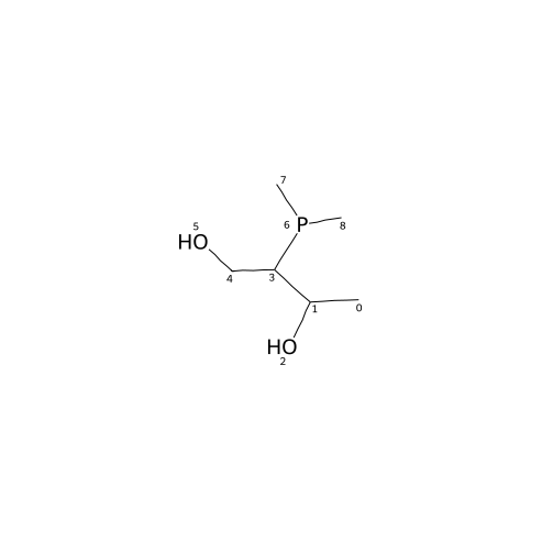 CC(O)C(CO)P(C)C